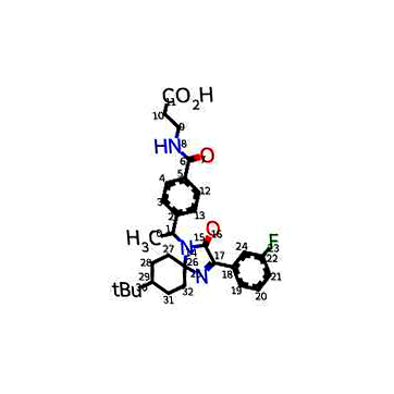 CC(c1ccc(C(=O)NCCC(=O)O)cc1)N1C(=O)C(c2cccc(F)c2)=NC12CCC(C(C)(C)C)CC2